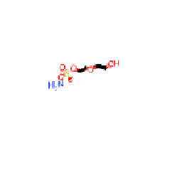 NOS(=O)(=O)OCCOCCO